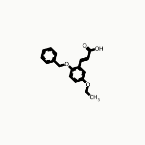 CCOc1ccc(OCc2ccccc2)c(/C=C/C(=O)O)c1